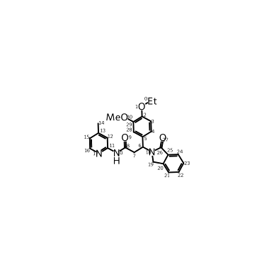 CCOc1ccc(C(CC(=O)Nc2cc(C)ccn2)N2Cc3ccccc3C2=O)cc1OC